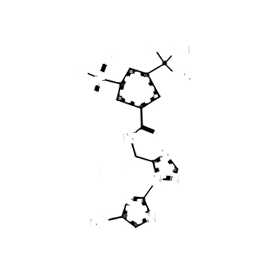 C[C@H](NC(=O)c1cc(C(C)(C)C#N)cc(S(C)(=O)=O)c1)c1ncnn1-c1ncc(C#N)s1